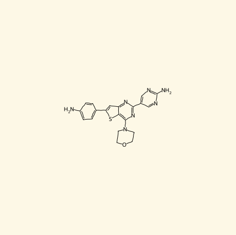 Nc1ccc(-c2cc3nc(-c4cnc(N)nc4)nc(N4CCOCC4)c3s2)cc1